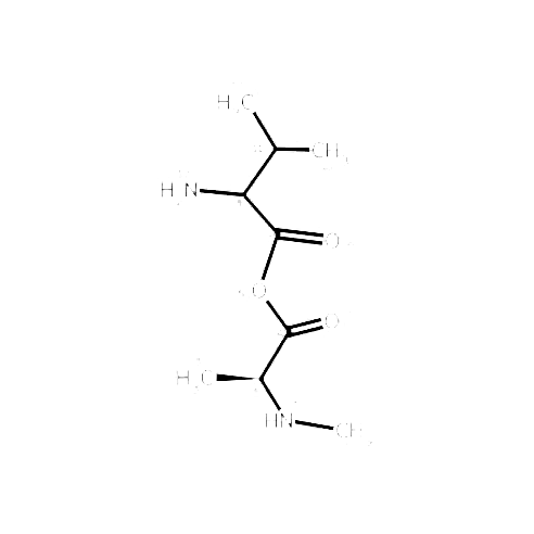 CN[C@@H](C)C(=O)OC(=O)C(N)C(C)C